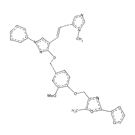 COc1cc(COc2nn(-c3ccccc3)cc2/C=C/c2cncn2C)ccc1OCc1nc(-c2ccco2)oc1C